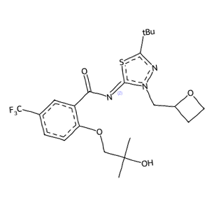 CC(C)(O)COc1ccc(C(F)(F)F)cc1C(=O)/N=c1\sc(C(C)(C)C)nn1CC1CCO1